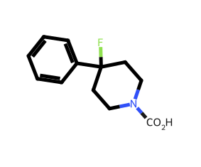 O=C(O)N1CCC(F)(c2ccccc2)CC1